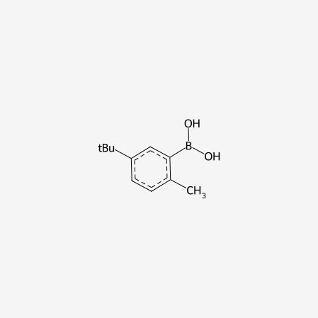 Cc1ccc(C(C)(C)C)cc1B(O)O